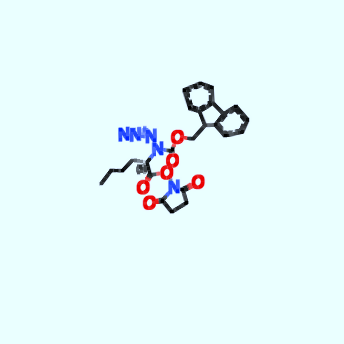 CCCC[C@@H](C(=O)ON1C(=O)CCC1=O)N(N=[N+]=[N-])C(=O)OCC1c2ccccc2-c2ccccc21